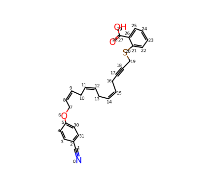 N#Cc1ccc(OC/C=C\C/C=C\C/C=C\CC#CCSc2ccccc2C(=O)O)cc1